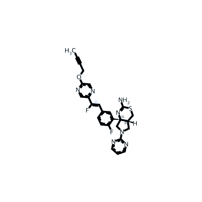 CC#CCOc1cnc(/C(F)=C/c2ccc(F)c([C@]34CN(c5ncccn5)C[C@H]3CSC(N)=N4)c2)cn1